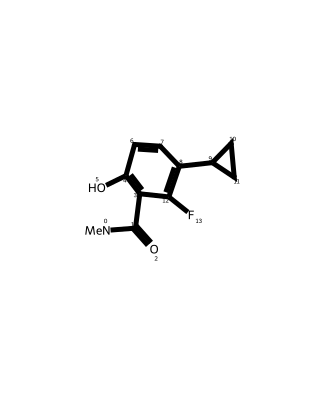 CNC(=O)c1c(O)ccc(C2CC2)c1F